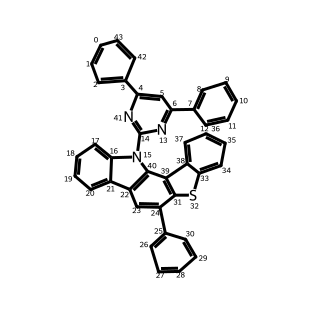 c1ccc(-c2cc(-c3ccccc3)nc(-n3c4ccccc4c4cc(-c5ccccc5)c5sc6ccccc6c5c43)n2)cc1